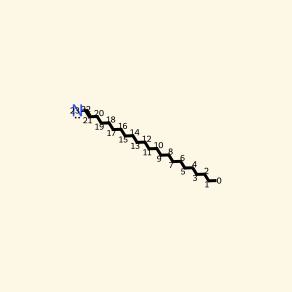 CCCCCCCCCCCCCCCCCCCCCC=C[N]